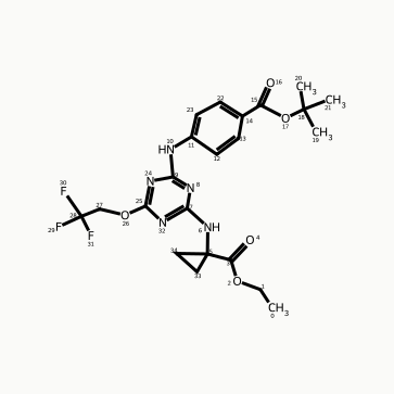 CCOC(=O)C1(Nc2nc(Nc3ccc(C(=O)OC(C)(C)C)cc3)nc(OCC(F)(F)F)n2)CC1